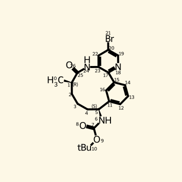 C[C@@H]1CCC[C@H](NC(=O)OC(C)(C)C)c2cccc(c2)-c2ncc(Br)cc2NC1=O